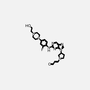 O=CC=CN1CCC(n2cnc3cnc(Nc4ccc(N5CCN(CCO)CC5)cc4F)nc32)C1